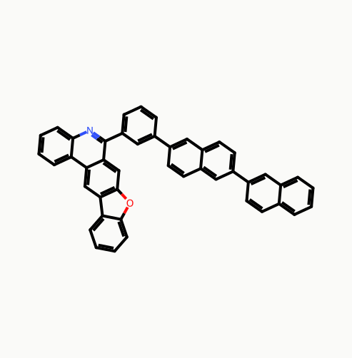 c1cc(-c2ccc3cc(-c4ccc5ccccc5c4)ccc3c2)cc(-c2nc3ccccc3c3cc4c(cc23)oc2ccccc24)c1